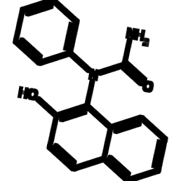 NC(=O)N(c1ccccc1)c1c(O)ccc2ccccc12